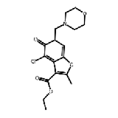 CCOC(=O)c1c(C)oc2c1=C(Cl)C(=O)C(CN1CCOCC1)C=2